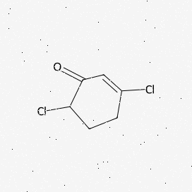 O=C1C=C(Cl)CCC1Cl